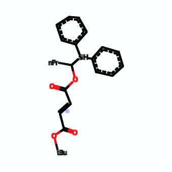 CCCC(OC(=O)/C=C/C(=O)OC(C)(C)C)[SiH](c1ccccc1)c1ccccc1